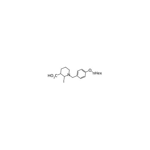 CCCCCCOc1ccc(CN2CCCC(C(=O)O)C2I)cc1